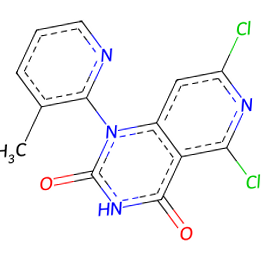 Cc1cccnc1-n1c(=O)[nH]c(=O)c2c(Cl)nc(Cl)cc21